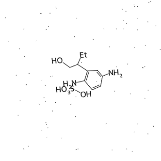 CCC(CO)c1cc(N)ccc1N.O=S(=O)(O)O